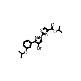 CC(C)OC(=O)c1csc(-n2cc(Br)c(-c3cccc(OC(C)C)c3)n2)n1